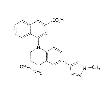 Cn1cc(-c2ccc3c(c2)CCCN3c2nc(C(=O)O)cc3ccccc23)cn1.NC=O